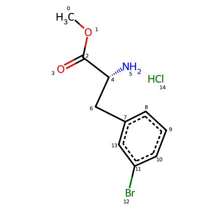 COC(=O)[C@H](N)Cc1cccc(Br)c1.Cl